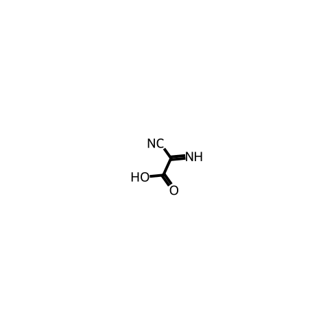 N#CC(=N)C(=O)O